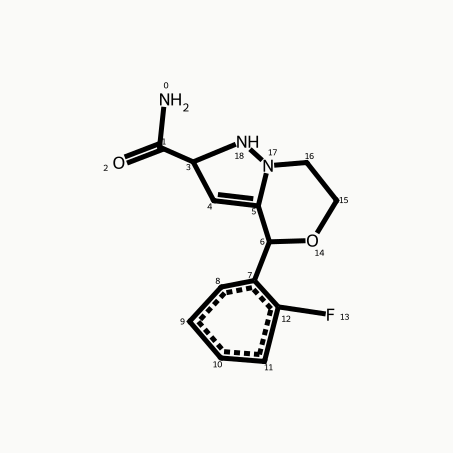 NC(=O)C1C=C2C(c3ccccc3F)OCCN2N1